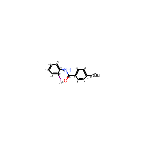 CC(C)(C)c1ccc(C(=O)Nc2ccccc2I)cc1